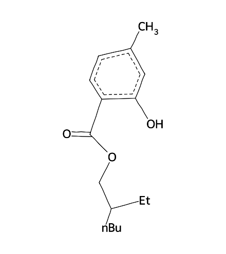 CCCCC(CC)COC(=O)c1ccc(C)cc1O